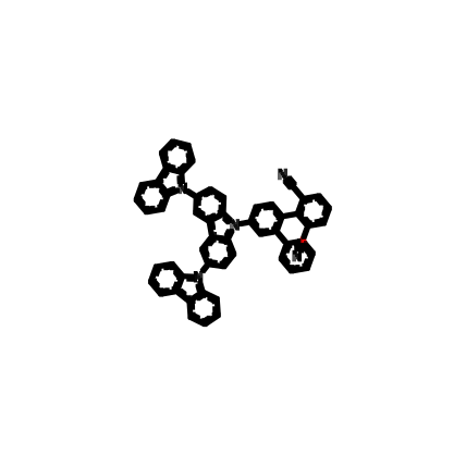 N#Cc1cccc(C#N)c1-c1ccc(-n2c3ccc(-n4c5ccccc5c5ccccc54)cc3c3cc(-n4c5ccccc5c5ccccc54)ccc32)cc1-c1ccccc1